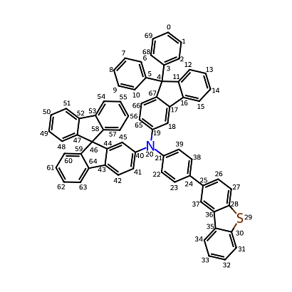 c1ccc(C2(c3ccccc3)c3ccccc3-c3cc(N(c4ccc(-c5ccc6sc7ccccc7c6c5)cc4)c4ccc5c(c4)C4(c6ccccc6-c6ccccc64)c4ccccc4-5)ccc32)cc1